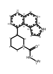 CCCNC(=O)N1CCCC(c2ncnc3cnc4[nH]ccc4c23)C1